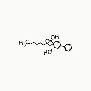 CCCCCCCCC1(C(=O)O)C=CC(c2ccccc2)=CC1.Cl